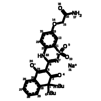 CCCCC1(CCCC)C(=O)C(C2=NS(=O)(=O)c3cc(OCC(N)=O)ccc3N2)=C([O-])c2ccccc21.[Na+]